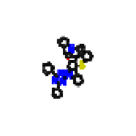 c1ccc(-c2nc(-c3ccccc3)nc(-n3c4ccccc4c4c5c(ccc43)C3(c4ccccc4S5)c4ccccc4-n4c5ccccc5c5cccc3c54)n2)cc1